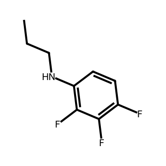 CCCNc1ccc(F)c(F)c1F